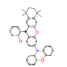 CC1(C)CCC(C)(C)c2cc3c(cc21)Oc1cc(N2c4ccccc4Oc4ccccc42)cc2c1B3c1ccccc1O2